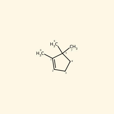 CC1=CC[CH]C1(C)C